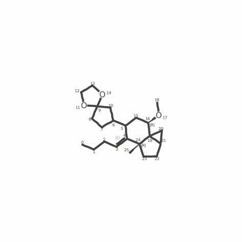 CCC/C=C1\C(C2CCC3(C2)OCCO3)C[C@@H](OC)C23CC2CC[C@]13C